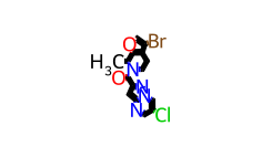 CC1c2occ(Br)c2CCN1C(=O)c1cc2ncc(Cl)cn2n1